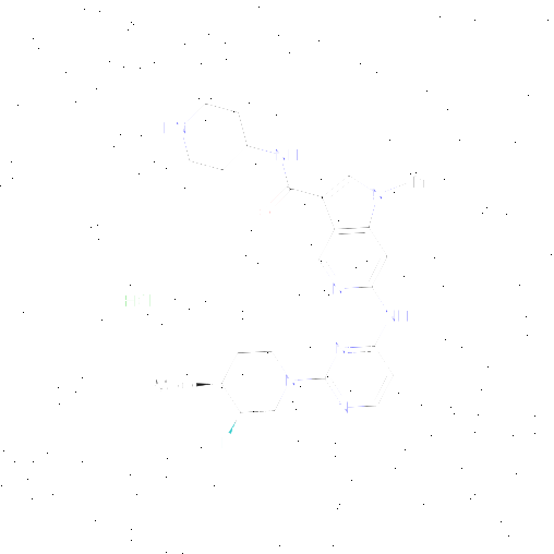 CO[C@H]1CCN(c2nccc(Nc3cc4c(cn3)c(C(=O)NC3CCNCC3)cn4C(C)C)n2)C[C@H]1F.Cl